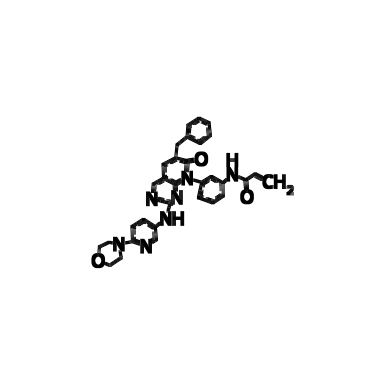 C=CC(=O)Nc1cccc(-n2c(=O)c(Cc3ccccc3)cc3cnc(Nc4ccc(N5CCOCC5)nc4)nc32)c1